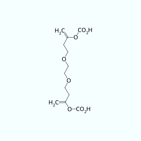 C=C(CCOCCOCCC(=C)OC(=O)O)OC(=O)O